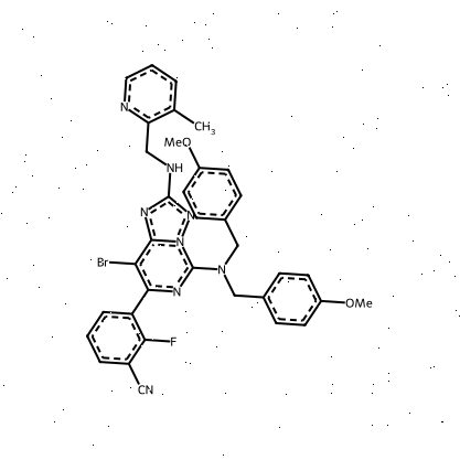 COc1ccc(CN(Cc2ccc(OC)cc2)c2nc(-c3cccc(C#N)c3F)c(Br)c3nc(NCc4ncccc4C)nn23)cc1